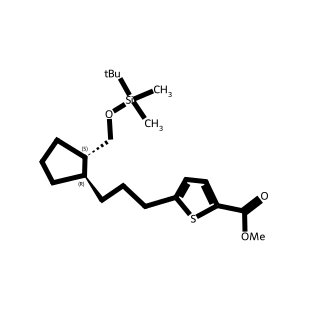 COC(=O)c1ccc(CCC[C@H]2CCC[C@@H]2CO[Si](C)(C)C(C)(C)C)s1